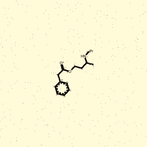 CC(C)NC(C)CCOC(=O)Cc1ccccc1